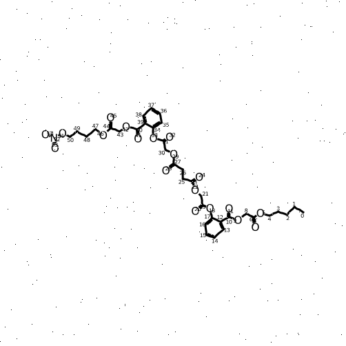 CCCCCOC(=O)COC(=O)c1ccccc1OC(=O)COC(=O)CCC(=O)OCC(=O)Oc1ccccc1C(=O)OCC(=O)OCCCCO[N+](=O)[O-]